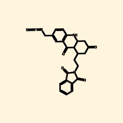 [N-]=[N+]=NCc1ccc2c(c1)C(=O)C1C(CCN3C(=O)c4ccccc4C3=O)CC(=O)CC1N2